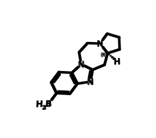 Bc1ccc2c(c1)nc1n2CCN2CCC[C@H]2C1